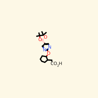 CC1(C)OB(c2cnc(OC3CCCCC3CC(=O)O)nc2)OC1(C)C